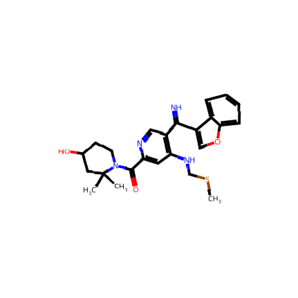 CSCNc1cc(C(=O)N2CCC(O)CC2(C)C)ncc1C(=N)c1coc2ccccc12